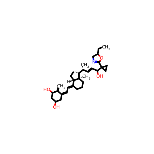 C=C1C(=CC=C2CCC[C@]3(C)[C@@H]([C@H](C)C=CC(O)C4(C5=NCC(CC)O5)CC4)CC[C@@H]23)CC(O)CC1O